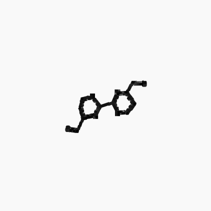 O=Cc1ccnc(-c2nccc(C=O)n2)n1